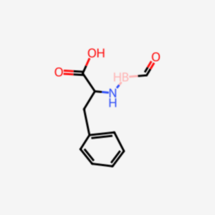 O=CBNC(Cc1ccccc1)C(=O)O